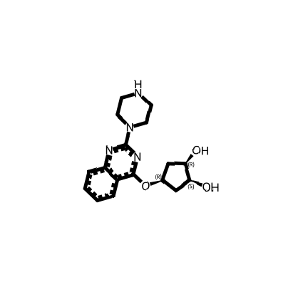 O[C@@H]1C[C@H](Oc2nc(N3CCNCC3)nc3ccccc23)C[C@@H]1O